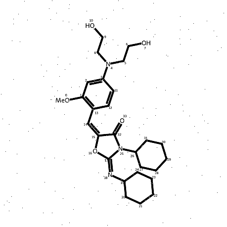 COc1cc(N(CCO)CCO)ccc1/C=C1/O/C(=N/C2CCCCC2)N(C2CCCCC2)C1=O